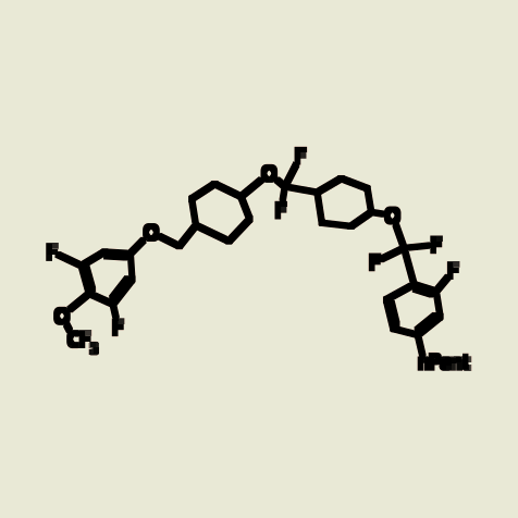 CCCCCc1ccc(C(F)(F)OC2CCC(C(F)(F)OC3CCC(COc4cc(F)c(OC(F)(F)F)c(F)c4)CC3)CC2)c(F)c1